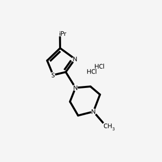 CC(C)c1csc(N2CCN(C)CC2)n1.Cl.Cl